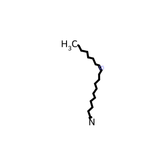 CCCCCCC/C=C\CCCCCCCCCC#N